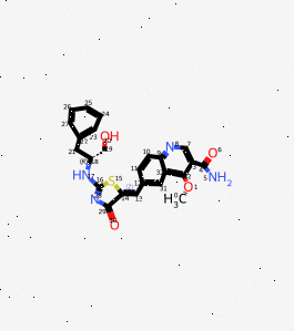 COc1c(C(N)=O)cnc2ccc(/C=C3\SC(N[C@@H](CO)Cc4ccccc4)=NC3=O)cc12